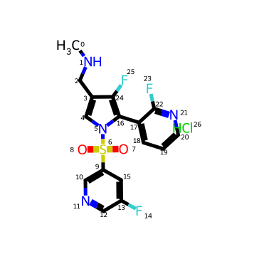 CNCc1cn(S(=O)(=O)c2cncc(F)c2)c(-c2cccnc2F)c1F.Cl